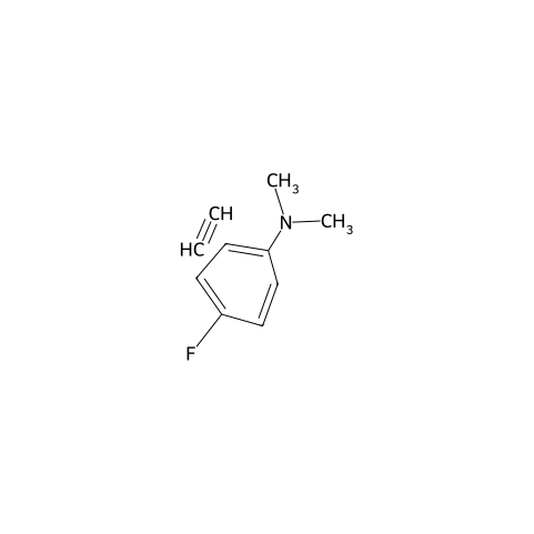 C#C.CN(C)c1ccc(F)cc1